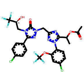 CC(=O)OC(C)c1nc(Cn2nc(-c3ccc(Cl)cc3)n(C[C@H](O)C(F)(F)F)c2=O)nn1-c1ccc(Cl)cc1OC(F)(F)F